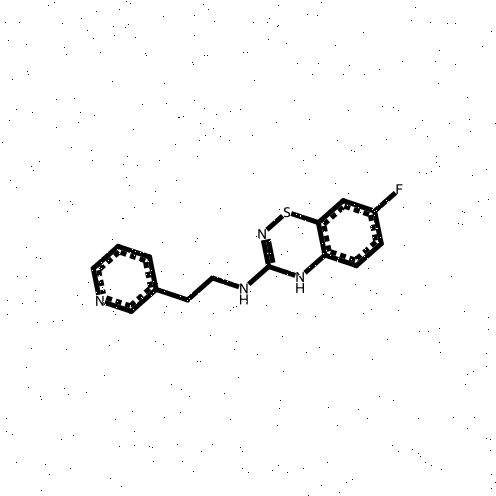 Fc1ccc2c(c1)SN=C(NCCc1cccnc1)N2